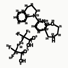 O=C(O)C(F)(F)F.O=C(O)C(F)(F)F.c1ccc2c(c1)CCCN2c1ccc2c(n1)OCCNC2